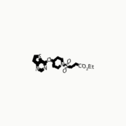 CCOC(=O)CCS(=O)(=O)N1CCC(Oc2ncnc3ccsc23)CC1